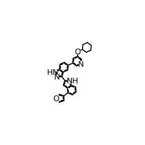 c1cc(-c2ccoc2)c2cc(-c3n[nH]c4ccc(-c5cncc(OC6CCCCC6)c5)cc34)[nH]c2c1